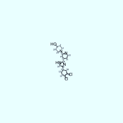 OC1CCN(c2cc(-c3nc(-c4ccc(Cl)c(Cl)c4)c[nH]3)ccn2)CC1